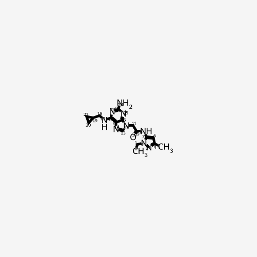 CCn1nc(C)cc1NC(=O)Cn1cnc2c(NCC3CC3)nc(N)nc21